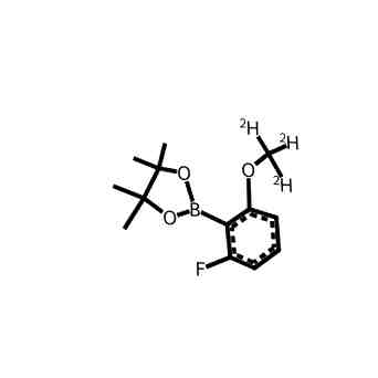 [2H]C([2H])([2H])Oc1cccc(F)c1B1OC(C)(C)C(C)(C)O1